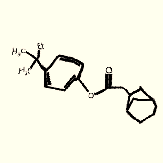 CCC(C)(C)c1ccc(OC(=O)C2CC3CCC2C3)cc1